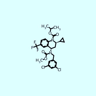 COC(=O)N(Cc1cc(Cl)cc(Cl)c1)[C@@H]1C[C@H](C2CC2)N(C(=O)OC(C)C)c2ccc(C(F)(F)F)cc21